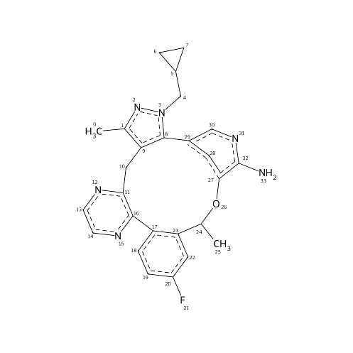 Cc1nn(CC2CC2)c2c1Cc1nccnc1-c1ccc(F)cc1C(C)Oc1cc-2cnc1N